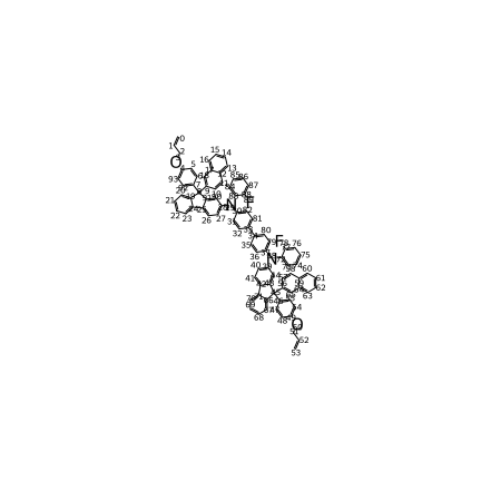 C=CCOc1ccc(C2(c3ccc4ccccc4c3)c3ccccc3-c3ccc(N(c4ccc(-c5ccc(N(c6ccc7c(c6)C(c6ccc(OCC=C)cc6)(c6ccc8ccccc8c6)c6ccccc6-7)c6ccccc6F)cc5)cc4)c4ccccc4F)cc32)cc1